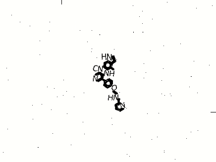 Cc1c(Nc2c(C#N)cncc2-c2ccc(OCCNCc3ccccn3)cc2)ccc2[nH]ccc12